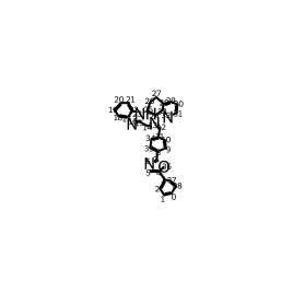 c1ccc(-c2cnc(-c3ccc(CN(Cc4nc5ccccc5[nH]4)C4CCCc5cccnc54)cc3)o2)cc1